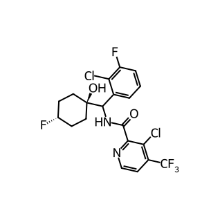 O=C(NC(c1cccc(F)c1Cl)[C@]1(O)CC[C@H](F)CC1)c1nccc(C(F)(F)F)c1Cl